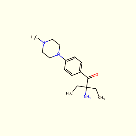 CCC(N)(CC)C(=O)c1ccc(N2CCN(C)CC2)cc1